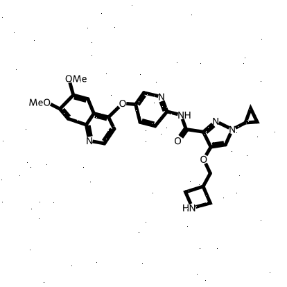 COc1cc2nccc(Oc3ccc(NC(=O)c4nn(C5CC5)cc4OCC4CNC4)nc3)c2cc1OC